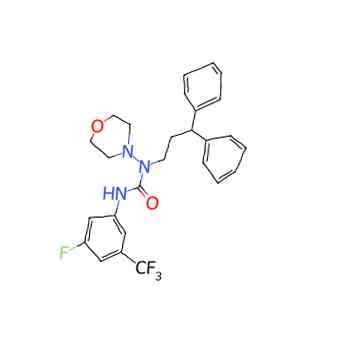 O=C(Nc1cc(F)cc(C(F)(F)F)c1)N(CCC(c1ccccc1)c1ccccc1)N1CCOCC1